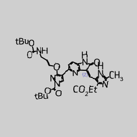 CCOC(=O)c1nc(C)[nH]c1/C=C1\C(=O)Nc2ccc(-c3cn(C(=O)OC(C)(C)C)nc3OCCCNC(=O)OC(C)(C)C)nc21